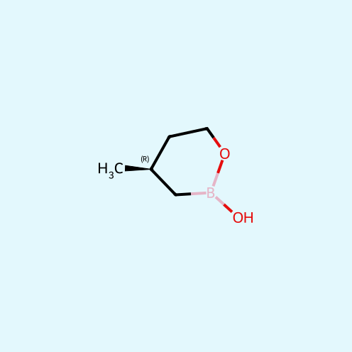 C[C@H]1CCOB(O)C1